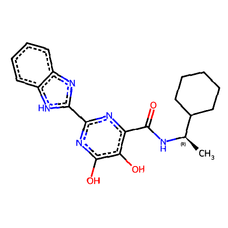 C[C@@H](NC(=O)c1nc(-c2nc3ccccc3[nH]2)nc(O)c1O)C1CCCCC1